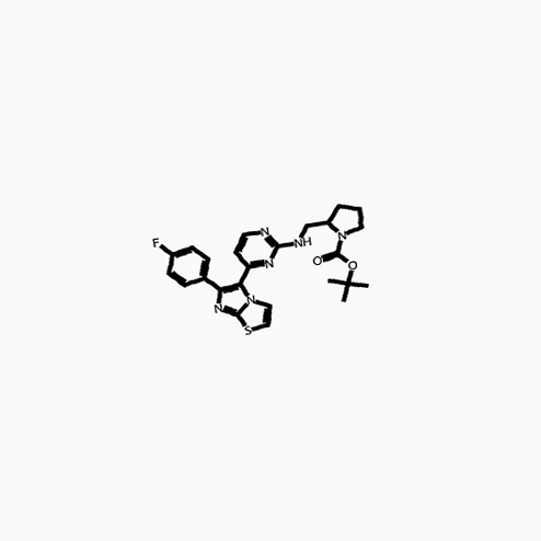 CC(C)(C)OC(=O)N1CCCC1CNc1nccc(-c2c(-c3ccc(F)cc3)nc3sccn23)n1